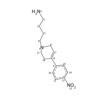 NCCCCN1CC=C(c2ccc([N+](=O)[O-])cc2)CC1